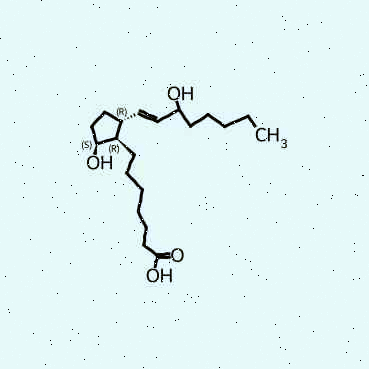 CCCCCC(O)C=C[C@H]1CC[C@H](O)[C@@H]1CCCCCCC(=O)O